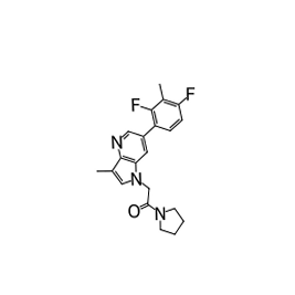 Cc1c(F)ccc(-c2cnc3c(C)cn(CC(=O)N4CCCC4)c3c2)c1F